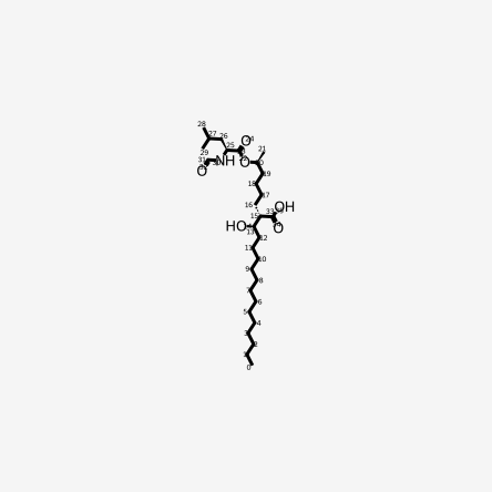 CCCCCCCCCCCCC[C@@H](O)[C@H](CCCC[C@H](C)OC(=O)[C@H](CC(C)C)NC=O)C(=O)O